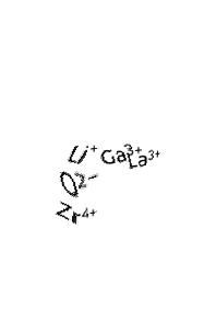 [Ga+3].[La+3].[Li+].[O-2].[Zr+4]